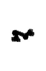 CCO[Si](CCCc1ccccc1SSSSSSSc1ccccc1CCC[Si](OCC)(OCC)OCC)(OCC)OCC